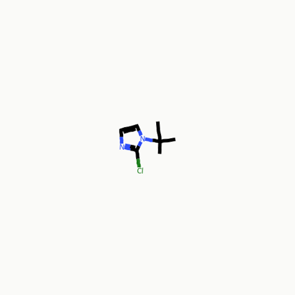 CC(C)(C)n1ccnc1Cl